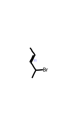 C/C=C/C(C)Br